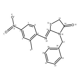 Cc1cc([N+](=O)[O-])ccc1N=C1SCC(=O)N1Cc1ccccc1